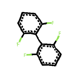 Fc1c[c]cc(F)c1-c1c(F)cccc1F